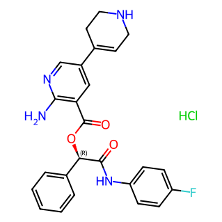 Cl.Nc1ncc(C2=CCNCC2)cc1C(=O)O[C@@H](C(=O)Nc1ccc(F)cc1)c1ccccc1